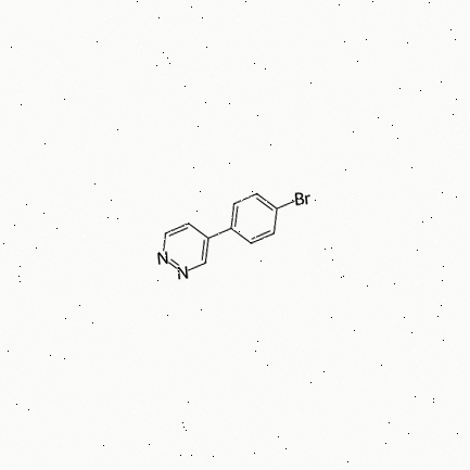 Brc1ccc(-c2ccnnc2)cc1